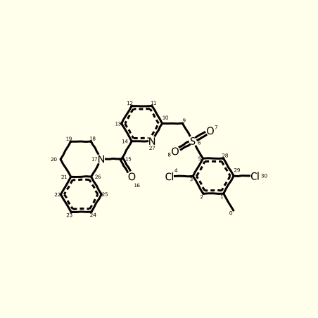 Cc1cc(Cl)c(S(=O)(=O)Cc2cccc(C(=O)N3CCCc4ccccc43)n2)cc1Cl